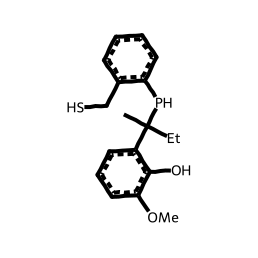 CCC(C)(Pc1ccccc1CS)c1cccc(OC)c1O